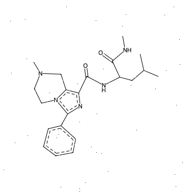 CNC(=O)C(CC(C)C)NC(=O)c1nc(-c2ccccc2)n2c1CN(C)CC2